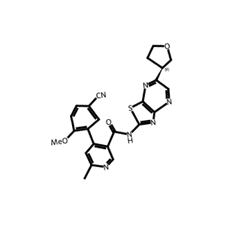 COc1ccc(C#N)cc1-c1cc(C)ncc1C(=O)Nc1nc2ncc([C@H]3CCOC3)nc2s1